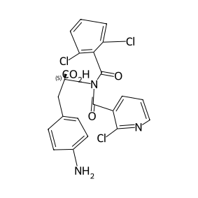 Nc1ccc(C[C@@H](C(=O)O)N(C(=O)c2cccnc2Cl)C(=O)c2c(Cl)cccc2Cl)cc1